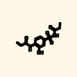 CCC(=O)Nc1ccc(S(=O)(=O)NC(=O)CC)cc1O